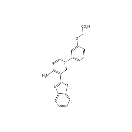 Nc1ncc(-c2cccc(OCC(=O)O)c2)cc1-c1nc2ccccc2s1